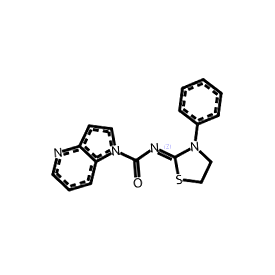 O=C(/N=C1\SCCN1c1ccccc1)n1ccc2ncccc21